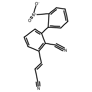 N#CC=Cc1cccc(-c2ccccc2[N+](=O)[O-])c1C#N